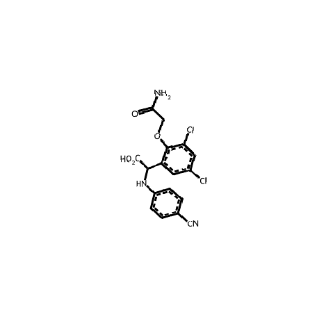 N#Cc1ccc(NC(C(=O)O)c2cc(Cl)cc(Cl)c2OCC(N)=O)cc1